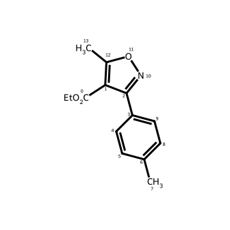 CCOC(=O)c1c(-c2ccc(C)cc2)noc1C